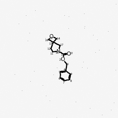 O=C(OCc1ccccc1)N1CCC2(COC2)C1